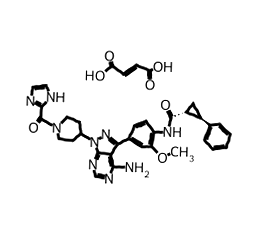 COc1cc(-c2nn(C3CCN(C(=O)c4ncc[nH]4)CC3)c3ncnc(N)c23)ccc1NC(=O)[C@@H]1C[C@H]1c1ccccc1.O=C(O)C=CC(=O)O